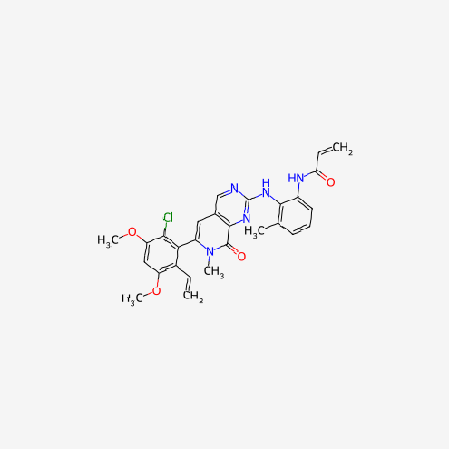 C=CC(=O)Nc1cccc(C)c1Nc1ncc2cc(-c3c(Cl)c(OC)cc(OC)c3C=C)n(C)c(=O)c2n1